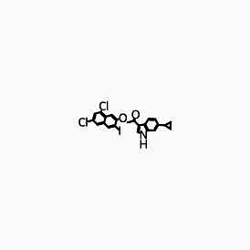 O=C(COc1cc2c(Cl)cc(Cl)cc2cc1I)c1c[nH]c2cc(C3CC3)ccc12